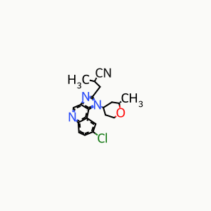 CC(C#N)Cc1nc2cnc3ccc(Cl)cc3c2n1C1CCO[C@H](C)C1